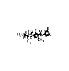 C=C(NS(=O)(=O)c1cn(C)c(C(=O)Nc2ccnc(F)c2)c1F)C(C)(F)F